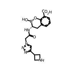 O=C(Cn1cc(C2CNC2)nn1)N[C@H]1Cc2cccc(C(=O)O)c2OB1O